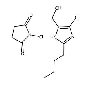 CCCCc1nc(Cl)c(CO)[nH]1.O=C1CCC(=O)N1Cl